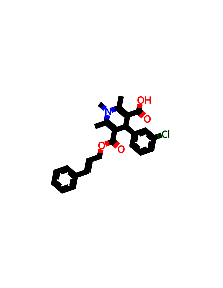 CC1=C(C(=O)O)C(c2cccc(Cl)c2)C(C(=O)OC/C=C/c2ccccc2)=C(C)N1C